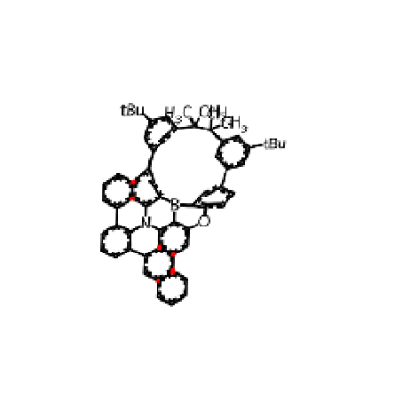 CC(C)(C)c1cc2cc(c1)C(C)(C)C(C)(C)c1cc(cc(C(C)(C)C)c1)-c1ccc3c(c1)B1c4cc-2ccc4Oc2cc(-c4ccccc4)cc(c21)N3c1c(-c2ccccc2)cccc1-c1ccccc1